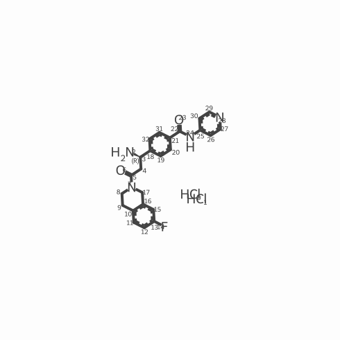 Cl.Cl.N[C@H](CC(=O)N1CCc2ccc(F)cc2C1)c1ccc(C(=O)Nc2ccncc2)cc1